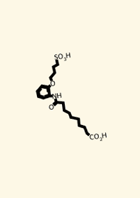 O=C(O)CCCCCCCCC(=O)Nc1ccccc1OCCCCS(=O)(=O)O